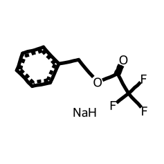 O=C(OCc1ccccc1)C(F)(F)F.[NaH]